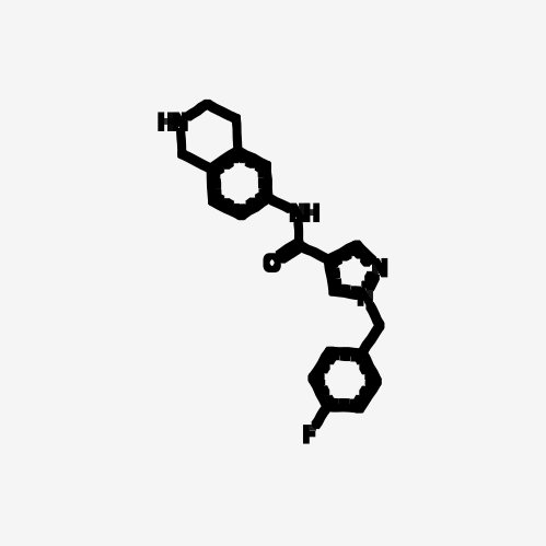 O=C(Nc1ccc2c(c1)CCNC2)c1cnn(Cc2ccc(F)cc2)c1